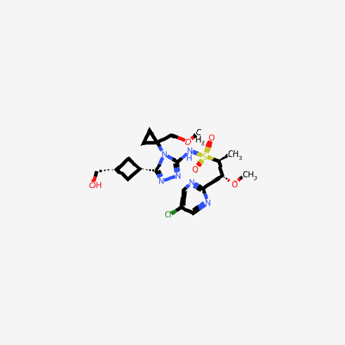 COCC1(n2c(NS(=O)(=O)[C@@H](C)[C@H](OC)c3ncc(Cl)cn3)nnc2[C@H]2C[C@@H](CO)C2)CC1